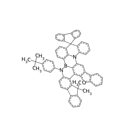 CC(C)(C)c1ccc(N2B3c4cccc5c4N(c4ccccc4C54c5ccccc5-c5ccccc54)c4cc5c(oc6ccccc65)c(c43)-c3c2ccc2c3C(C)(C)c3ccccc3-2)cc1